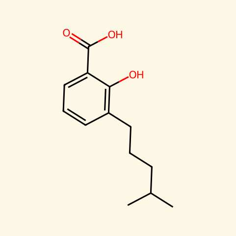 CC(C)CCCc1cccc(C(=O)O)c1O